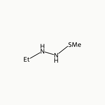 CCNNSC